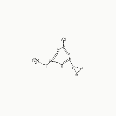 NCc1cc(Cl)[c]c(C2CC2)c1